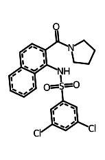 O=C(c1ccc2ccccc2c1NS(=O)(=O)c1cc(Cl)cc(Cl)c1)N1CCCC1